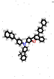 CC1(C)c2ccccc2-c2ccc(N(c3ccc(-c4ccc5ccccc5c4)cc3)c3ccc4c(c3)oc3c5ccccc5c(-c5ccc(-c6ccccc6)cc5)cc43)cc21